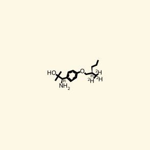 [2H]C([2H])([2H])[C@H](CCC)COc1ccc([C@@H](N)C(C)(C)O)cc1